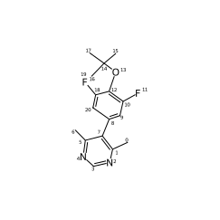 Cc1ncnc(C)c1-c1cc(F)c(OC(C)(C)C)c(F)c1